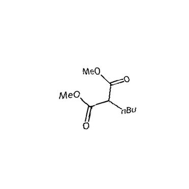 CCCC[C](C(=O)OC)C(=O)OC